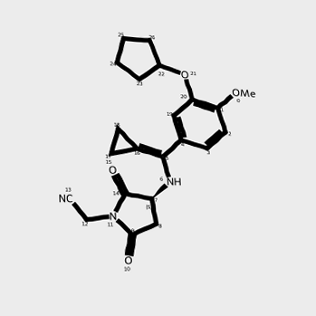 COc1ccc(C(N[C@H]2CC(=O)N(CC#N)C2=O)=C2CC2)cc1OC1CCCC1